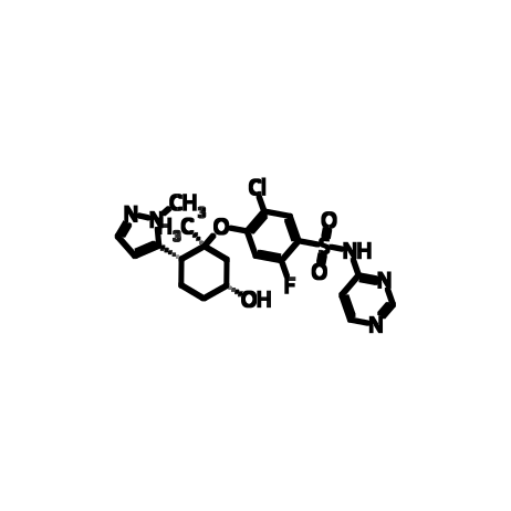 Cn1nccc1[C@H]1CC[C@@H](O)C[C@]1(C)Oc1cc(F)c(S(=O)(=O)Nc2ccncn2)cc1Cl